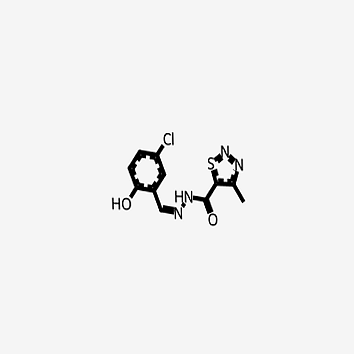 Cc1nnsc1C(=O)N/N=C\c1cc(Cl)ccc1O